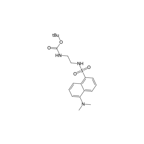 CN(C)c1cccc2c(S(=O)(=O)NCCNC(=O)OC(C)(C)C)cccc12